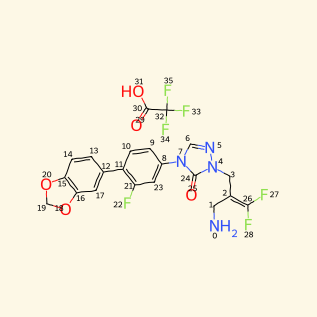 NCC(Cn1ncn(-c2ccc(-c3ccc4c(c3)OCO4)c(F)c2)c1=O)=C(F)F.O=C(O)C(F)(F)F